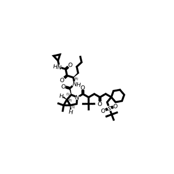 CCCC[C@@H](NC(=O)[C@@H]1[C@@H]2[C@H](CN1C(=O)C(CC(=O)CC1(CS(=O)(=O)C(C)(C)C)CCCCC1)C(C)(C)C)C2(C)C)C(=O)C(=O)NC1CC1